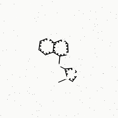 Cn1cnnc1Sc1ncnc2ncccc12